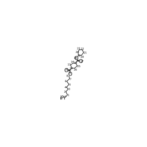 CC(C)CCCCCCCCOC(=O)C1CCC(C(=O)OC2CCCCC2)CC1